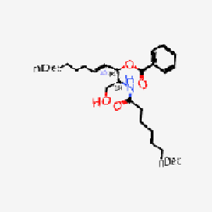 CCCCCCCCCCCCC/C=C/[C@@H](OC(=O)c1ccccc1)[C@H](CO)NC(=O)CCCCCCCCCCCCCCC